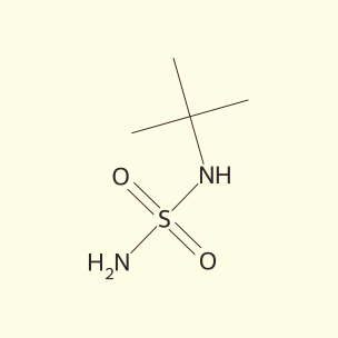 CC(C)(C)NS(N)(=O)=O